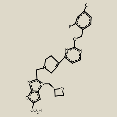 O=C(O)c1cc2c(nc(CN3CC=C(c4ccnc(OCc5ccc(Cl)cc5F)n4)CC3)n2C[C@@H]2CCO2)o1